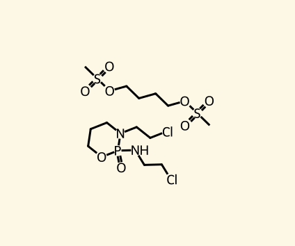 CS(=O)(=O)OCCCCOS(C)(=O)=O.O=P1(NCCCl)OCCCN1CCCl